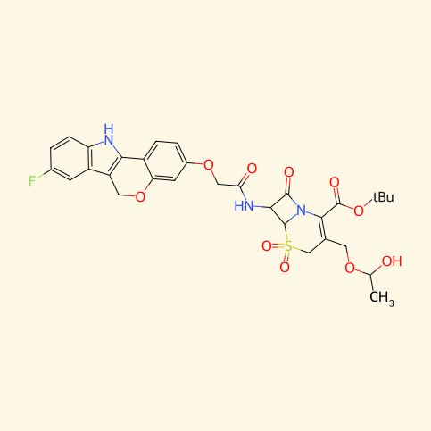 CC(O)OCC1=C(C(=O)OC(C)(C)C)N2C(=O)C(NC(=O)COc3ccc4c(c3)OCc3c-4[nH]c4ccc(F)cc34)C2S(=O)(=O)C1